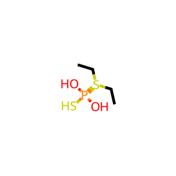 CCS(CC)=P(O)(O)S